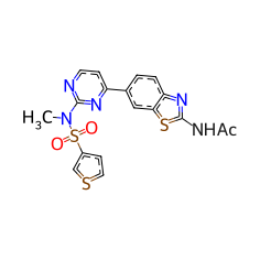 CC(=O)Nc1nc2ccc(-c3ccnc(N(C)S(=O)(=O)c4ccsc4)n3)cc2s1